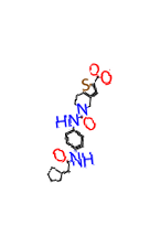 COC(=O)c1cc2c(s1)CCN(C(=O)Nc1ccc(NC(=O)CC3CCCC3)cc1)C2